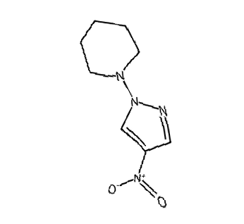 O=[N+]([O-])c1cnn(N2CCCCC2)c1